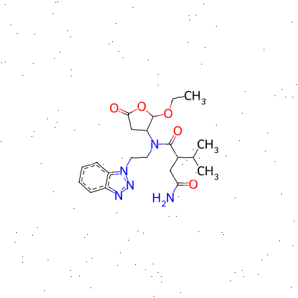 CCOC1OC(=O)CC1N(CCn1nnc2ccccc21)C(=O)C(CC(N)=O)C(C)C